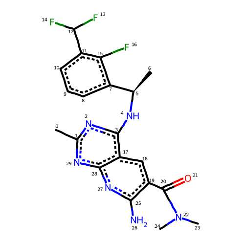 Cc1nc(N[C@H](C)c2cccc(C(F)F)c2F)c2cc(C(=O)N(C)C)c(N)nc2n1